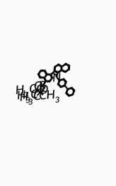 CC1(C)OB(c2cc3c(c4ccccc24)c2ccc4ccccc4c2n3-c2ccc(-c3ccccc3)cc2)OC1(C)C